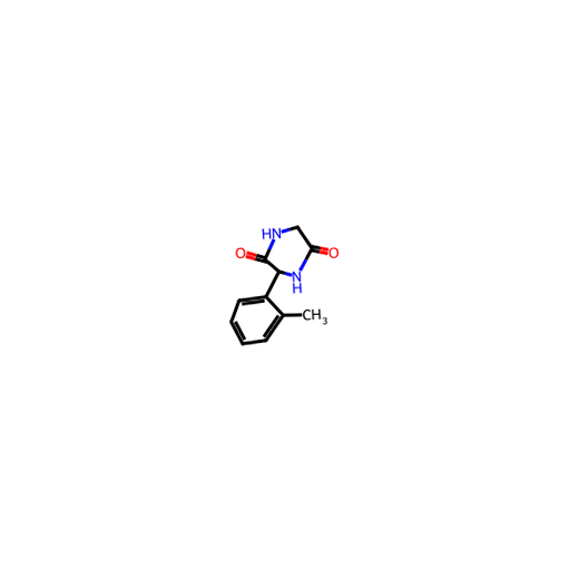 Cc1ccccc1C1NC(=O)CNC1=O